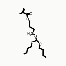 C=C(C)C(=O)OCCC[SiH2]OC(OCCCC)OCCCC